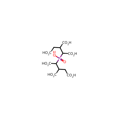 O=C(O)CC(C(=O)O)C(C(=O)O)P(=O)(O)C(C(=O)O)C(CC(=O)O)C(=O)O